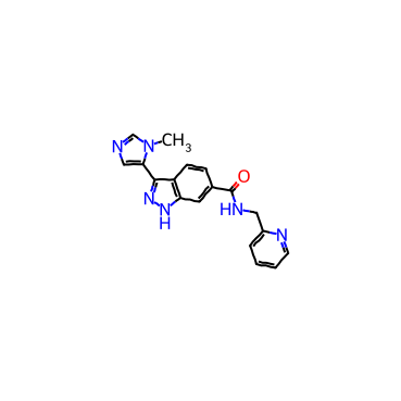 Cn1cncc1-c1n[nH]c2cc(C(=O)NCc3ccccn3)ccc12